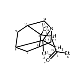 CCC(=O)NC1(C)C2CC3CC1CN(C2)C3(C)C